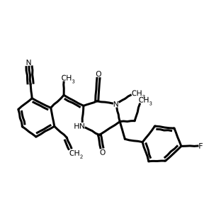 C=Cc1cccc(C#N)c1C(C)=C1NC(=O)C(CC)(Cc2ccc(F)cc2)N(C)C1=O